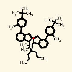 CCC[C](CCC)=[Hf]([CH3])([CH3])([CH]1C=Cc2c(-c3ccc(C(C)(C)C)cc3C)cccc21)[CH]1C=Cc2c(-c3ccc(C(C)(C)C)cc3C)cccc21